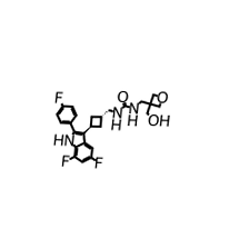 O=C(NCC1(CO)COC1)NC[C@H]1C[C@H](c2c(-c3ccc(F)cc3)[nH]c3c(F)cc(F)cc32)C1